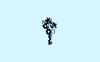 C[C@@H]1CN(c2nnc3cnc4ccc(-c5ccc(OCCCN(C)C)c(Cl)c5)nc4n23)C[C@H](C)N1C